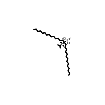 CCCCCCCCCCCCCCC(CCCCCCCCCCCCCC)(P(=O)(O)O)[P+](C)(C)C(C)C.[I-]